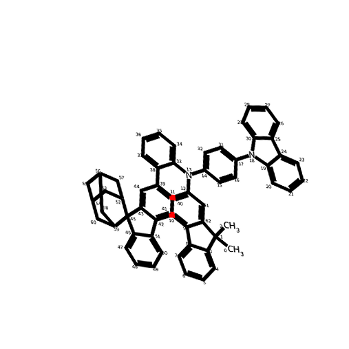 CC1(C)c2ccccc2-c2ccc(N(c3ccc(-n4c5ccccc5c5ccccc54)cc3)c3ccccc3-c3ccc4c(c3)C3(c5ccccc5-4)C4CC5CC(C4)CC3C5)cc21